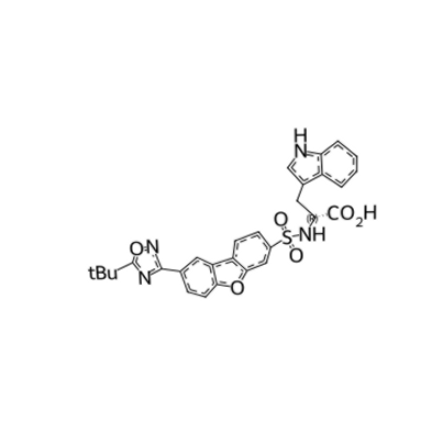 CC(C)(C)c1nc(-c2ccc3oc4cc(S(=O)(=O)N[C@H](Cc5c[nH]c6ccccc56)C(=O)O)ccc4c3c2)no1